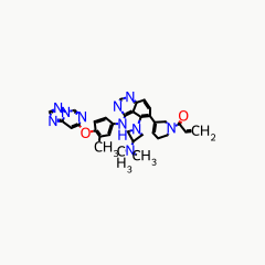 C=CC(=O)N1CCC=C(c2ccc3ncnc(Nc4ccc(Oc5cc6ncnn6cn5)c(C)c4)c3c2N2CC(N(C)C)C2)C1